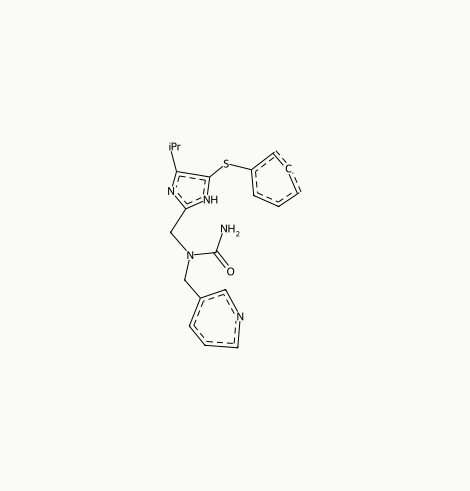 CC(C)c1nc(CN(Cc2cccnc2)C(N)=O)[nH]c1Sc1ccccc1